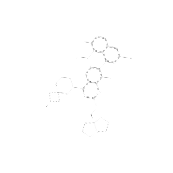 CCc1c(F)ccc2cc(O)cc(-c3c(F)cc4c(N5CCC[C@]6(C5)C[C@H](O)C6)nc(OC[C@@]56CCCN5C[C@H](F)C6)nc4c3F)c12